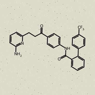 Nc1cccc(CCC(=O)c2ccc(NC(=O)c3ccccc3-c3ccc(C(F)(F)F)cc3)cc2)n1